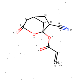 C=CC(=O)OC12CC(CC(=O)O1)CC2C#N